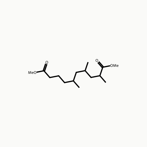 COC(=O)CCCC(C)CC(C)CC(C)C(=O)OC